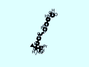 CC(C)n1nc(-c2noc(C3CC3)c2-c2ccc(C3CCN(C(=O)CCCN4CCC(N5CCC(c6ccc(NC7CCC(=O)NC7=O)cc6)CC5)C(F)(F)C4)CC3)cn2)c2c(N)ncnc21